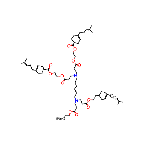 COCCOC(=O)CCN(CCCCCCN(CCC(=O)OCCOC(=O)C1CC=C(CCC=C(C)C)CC1)CCC(=O)OCCOC(=O)C1CC=C(CCC=C(C)C)CC1)CCC(=O)OCCC1CC=C(CCC=C(C)C)CC1